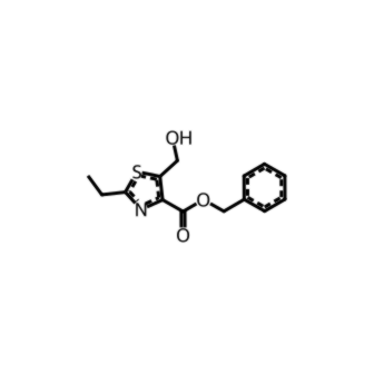 CCc1nc(C(=O)OCc2ccccc2)c(CO)s1